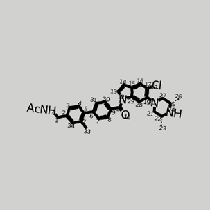 CC(=O)NCc1ccc(-c2ccc(C(=O)n3ccc4cc(Cl)c(N5C[C@@H](C)N[C@@H](C)C5)cc43)cc2)c(C)c1